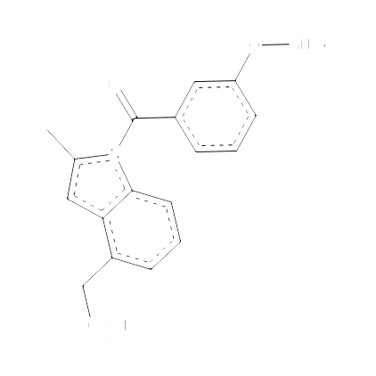 CCCCCCOc1cccc(C(=O)n2c(C)cc3c(CC(=O)O)cccc32)c1